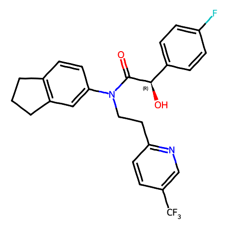 O=C([C@H](O)c1ccc(F)cc1)N(CCc1ccc(C(F)(F)F)cn1)c1ccc2c(c1)CCC2